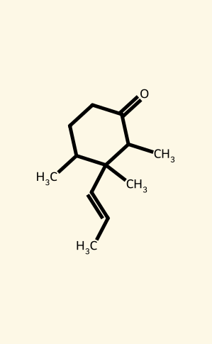 C/C=C/C1(C)C(C)CCC(=O)C1C